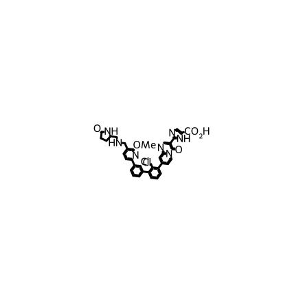 COc1nc(-c2cccc(-c3cccc(-c4ccn5c(=O)c(-c6ncc(C(=O)O)[nH]6)cnc5c4)c3Cl)c2Cl)ccc1CNCC1CCC(=O)N1